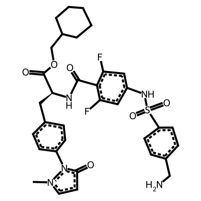 Cn1ccc(=O)n1-c1ccc(C[C@H](NC(=O)c2c(F)cc(NS(=O)(=O)c3ccc(CN)cc3)cc2F)C(=O)OCC2CCCCC2)cc1